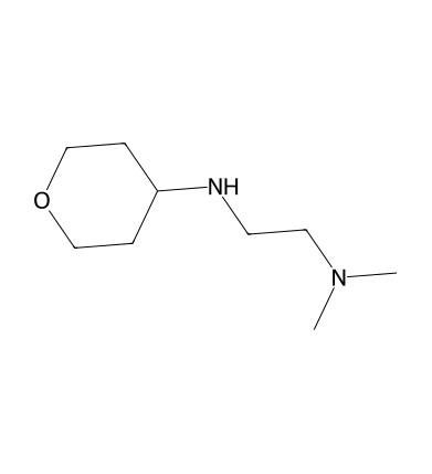 CN(C)CCNC1CCOCC1